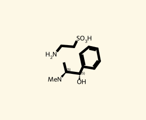 CN[C@@H](C)[C@@H](O)c1ccccc1.NCCS(=O)(=O)O